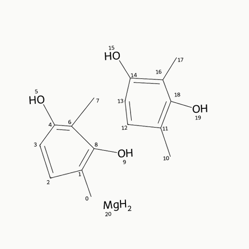 Cc1ccc(O)c(C)c1O.Cc1ccc(O)c(C)c1O.[MgH2]